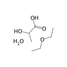 CC(O)C(=O)O.CCOCC.O